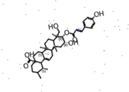 CC1CC[C@]2(C(=O)O)CC[C@]3(C)C(=CCC4[C@@]5(C)C[C@@H](O)[C@H](OC(=O)/C=C/c6ccc(O)cc6)[C@@](C)(CO)C5CC[C@]43C)C2[C@H]1C